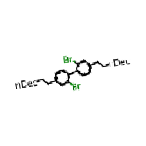 CCCCCCCCCCCCc1ccc(-c2ccc(CCCCCCCCCCCC)cc2Br)c(Br)c1